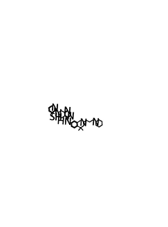 CC1(C)CN(CCCN2CCCCC2)Cc2cc(Nc3ncnc4c3CCN(c3ncccc3S)C4)ccc21